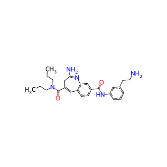 CCCN(CCC)C(=O)C1=Cc2ccc(C(=O)Nc3cccc(CCN)c3)cc2N=C(N)C1